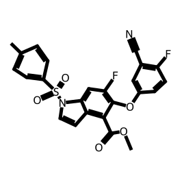 COC(=O)c1c(Oc2ccc(F)c(C#N)c2)c(F)cc2c1ccn2S(=O)(=O)c1ccc(C)cc1